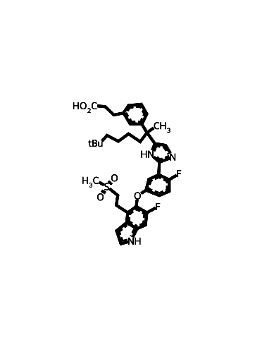 CC(C)(C)CCCCC(C)(c1cccc(CCC(=O)O)c1)c1cnc(-c2cc(Oc3c(F)cc4[nH]ccc4c3CCS(C)(=O)=O)ccc2F)[nH]1